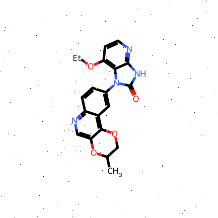 CCOc1ccnc2[nH]c(=O)n(-c3ccc4ncc5c(c4c3)OCC(C)O5)c12